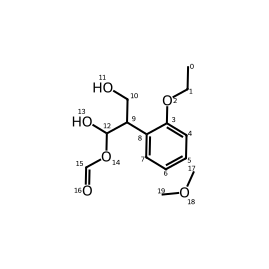 CCOc1ccccc1C(CO)C(O)OC=O.COC